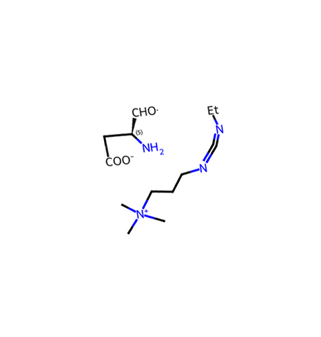 CCN=C=NCCC[N+](C)(C)C.N[C@H]([C]=O)CC(=O)[O-]